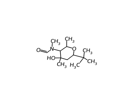 CC1OC(C(C)(C)C)CC(C)(O)C1N(C)C=O